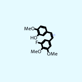 COc1ccc(/C=C\c2cc(F)c(OC)c(OC)c2)cc1O